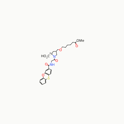 COC(=O)CCCCCOCC1C[C@@H](C(=O)O)N(C(=O)CNC(=O)c2ccc3c(c2)Oc2ccccc2S3)C1